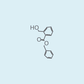 O=C(OCc1ccccc1)c1ccccc1CO